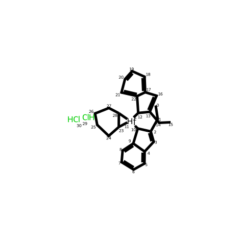 CCC1=Cc2ccccc2[CH]1[Hf]1([CH]2C(CC)=Cc3ccccc32)[CH]2CCCC[CH]21.Cl.Cl